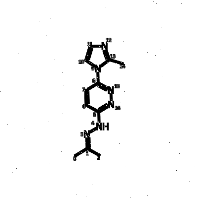 CC(C)=NNc1ccc(-n2ccnc2C)nn1